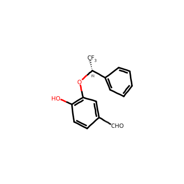 O=Cc1ccc(O)c(O[C@@H](c2ccccc2)C(F)(F)F)c1